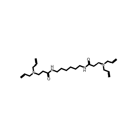 C=CCN(CC=C)CCC(=O)NCCCCCCNC(=O)CCN(CC=C)CC=C